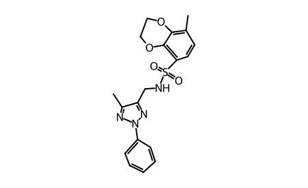 Cc1ccc(S(=O)(=O)NCc2nn(-c3ccccc3)nc2C)c2c1OCCO2